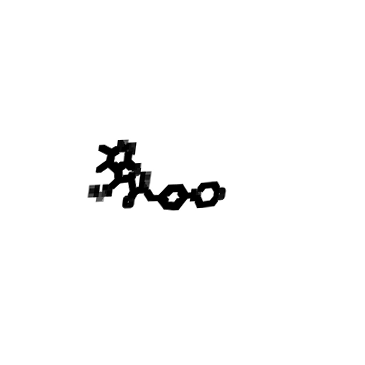 Cc1nnc2sc(C(=O)NCc3ccc(N4CCOCC4)cc3)c(N)c2c1C